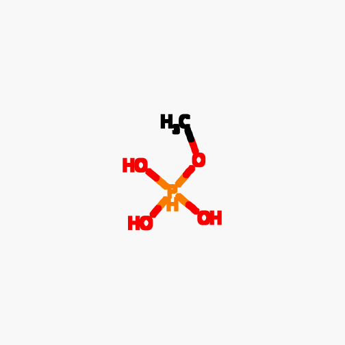 CO[PH](O)(O)O